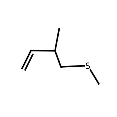 C=CC(C)CSC